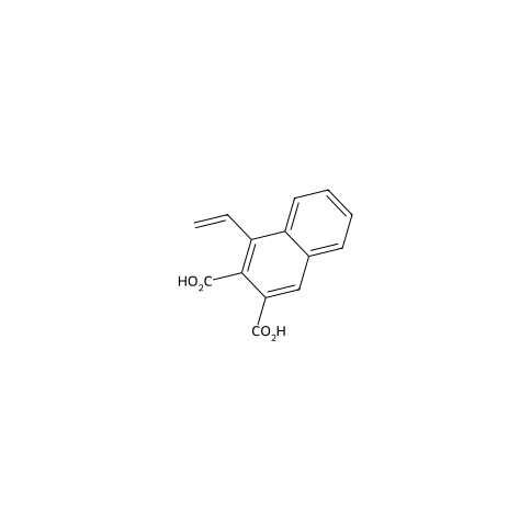 C=Cc1c(C(=O)O)c(C(=O)O)cc2ccccc12